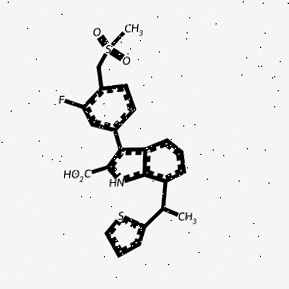 CC(c1cccs1)c1cccc2c(-c3ccc(CS(C)(=O)=O)c(F)c3)c(C(=O)O)[nH]c12